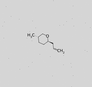 C=CC[C@H]1CC[C@H](C)CO1